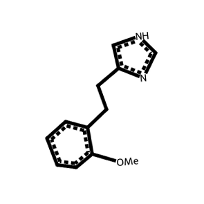 COc1ccccc1CCc1c[nH]cn1